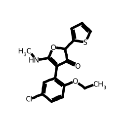 CCOc1ccc(Cl)cc1C1=C(NC)OC(c2cccs2)C1=O